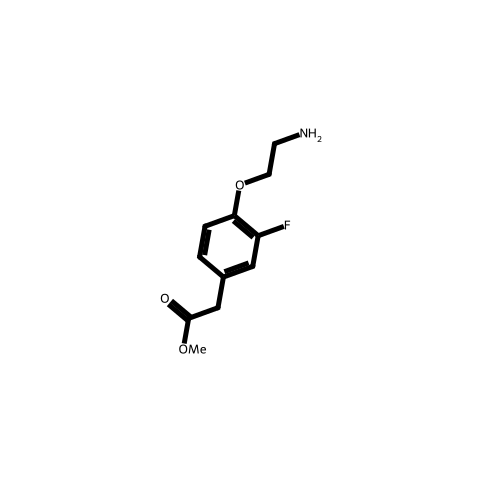 COC(=O)Cc1ccc(OCCN)c(F)c1